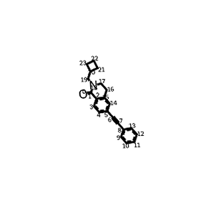 O=C1c2ccc(C#Cc3ccccc3)cc2CCN1CC1CCC1